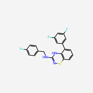 Fc1ccc(CNC2=NSc3cccc(-c4cc(F)cc(F)c4)c3N2)cc1